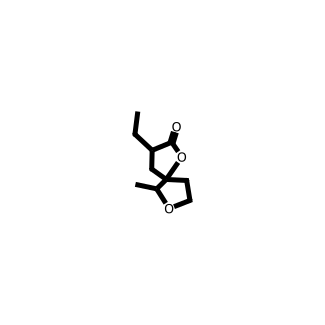 CCC1CC2(CCOC2C)OC1=O